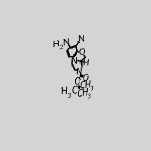 CC(C)(C)OC(=O)N1CCN2c3ccc(N)c(C#N)c3OC[C@@H]2C1